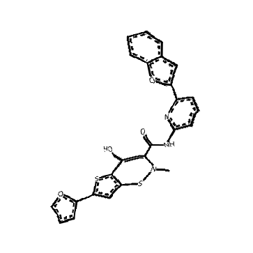 CN1Sc2cc(-c3ccco3)sc2C(O)=C1C(=O)Nc1cccc(-c2cc3ccccc3o2)n1